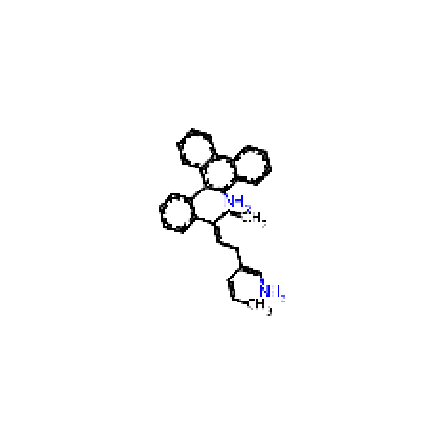 C=C/C(=C\CC(/C=C\C)=C/N)c1ccccc1-c1c(N)c2ccccc2c2ccccc12